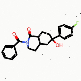 O=C(c1ccccc1)N1CCC2CC(O)(c3ccc(F)cc3)CCC2C1=O